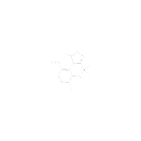 CNc1ccc(F)c2c1-n1c(C)nnc1C(C)(C)N2